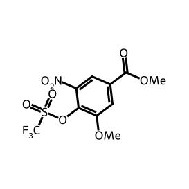 COC(=O)c1cc(OC)c(OS(=O)(=O)C(F)(F)F)c([N+](=O)[O-])c1